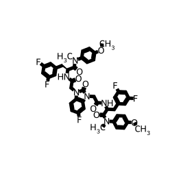 COc1ccc(N(C)C(=O)C(Cc2cc(F)cc(F)c2)NC(=O)Cn2c(=O)n(CC(=O)N[C@@H](Cc3cc(F)cc(F)c3)C(=O)N(C)c3ccc(OC)cc3)c3ccc(F)cc32)cc1